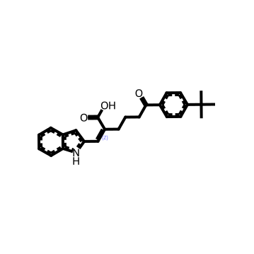 CC(C)(C)c1ccc(C(=O)CCC/C(=C/c2cc3ccccc3[nH]2)C(=O)O)cc1